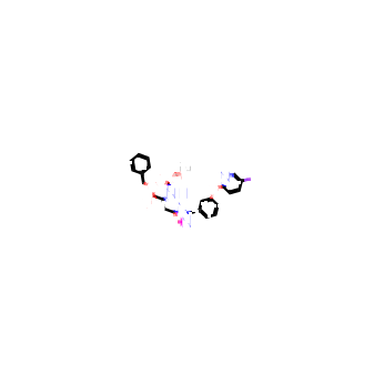 CC(C)(C)OC(=O)N[C@@H](Cc1nc(-c2cccc(Oc3ccc(I)cn3)c2)no1)C(=O)OCc1ccccc1